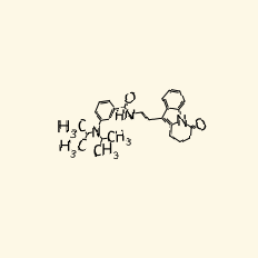 CC(C)N(c1cccc(C(=O)NCCc2c3n(c4ccccc24)C(=O)CCC3)c1)C(C)C